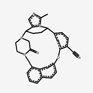 Cc1ncc2n1C1CCC2N2CCN(C(=O)C2)c2cccc3ccc(cc23)Oc2cc1ccc2C#N